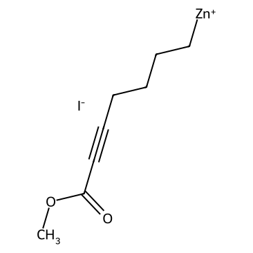 COC(=O)C#CCCC[CH2][Zn+].[I-]